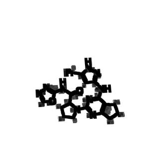 CC(C)c1cc(Nc2nc(N3CCCC3C(=O)Nc3nnco3)nc3c2CCC3)n[nH]1